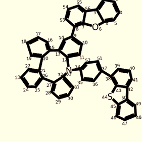 c1ccc2c(c1)oc1c(-c3ccc4c(c3)c3ccccc3c3ccccc3c3ccccc3n4-c3ccc(-c4cccc5c4sc4ccccc45)cc3)cccc12